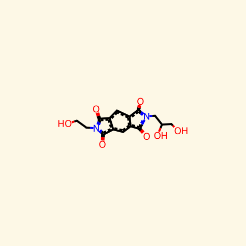 O=c1c2cc3c(=O)n(CC(O)CO)c(=O)c3cc2c(=O)n1CCO